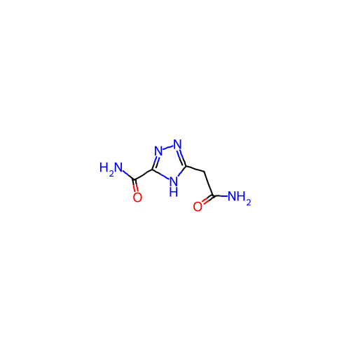 NC(=O)Cc1nnc(C(N)=O)[nH]1